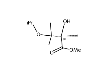 COC(=O)[C@](C)(O)C(C)(C)OC(C)C